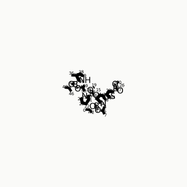 CC(C)OB(OC(C)C)c1ccccn1.COB(OC)c1ccccn1.COB(OC)c1cccs1.Cc1cc[nH]c1B(OC(C)C)OC(C)C